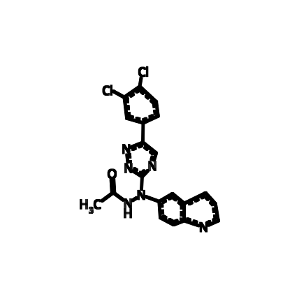 CC(=O)NN(c1ccc2ncccc2c1)c1ncc(-c2ccc(Cl)c(Cl)c2)nn1